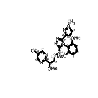 COc1cccc(OC)c1-n1c(NSCC(OC)c2ncc(Cl)cn2)nnc1-c1ccn(C)n1